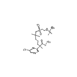 CC(C)(CCCC(C)(C(=O)OC(C)(C)C)c1cncc(Cl)n1)CS(=O)(=O)CCO[Si](C)(C)C(C)(C)C